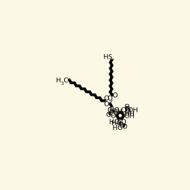 CCCCCCCCCCCCCCCC(=O)O[C@H](COC(=O)CCCCCCCCCCCCS)COP(=O)(O)OC1C(O)[C@@H](OP(=O)(O)O)C(O)[C@@H](OP(=O)(O)O)[C@H]1O